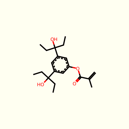 C=C(C)C(=O)Oc1cc(C(O)(CC)CC)cc(C(O)(CC)CC)c1